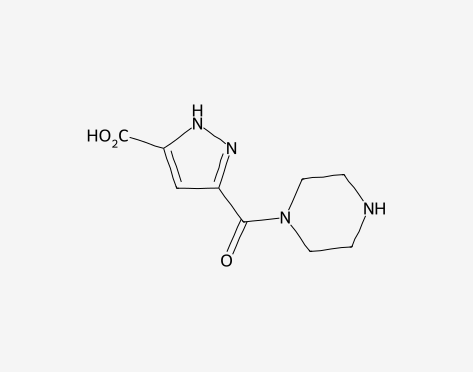 O=C(O)c1cc(C(=O)N2CCNCC2)n[nH]1